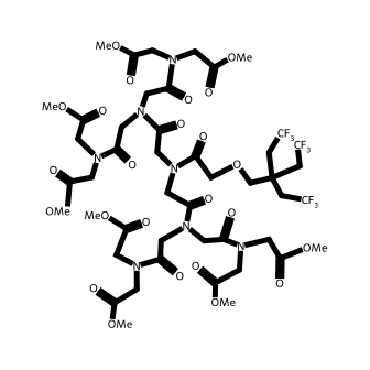 COC(=O)CN(CC(=O)OC)C(=O)CN(CC(=O)N(CC(=O)OC)CC(=O)OC)C(=O)CN(CC(=O)N(CC(=O)N(CC(=O)OC)CC(=O)OC)CC(=O)N(CC(=O)OC)CC(=O)OC)C(=O)COCC(CC(F)(F)F)(CC(F)(F)F)CC(F)(F)F